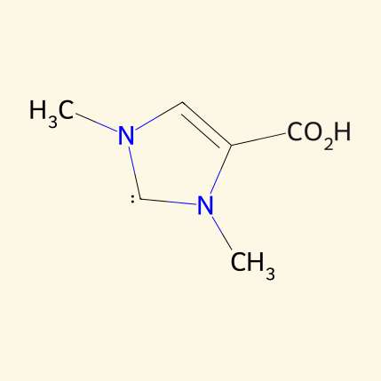 CN1[C]N(C)C(C(=O)O)=C1